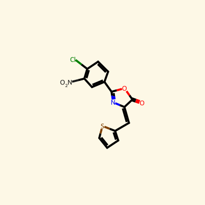 O=C1OC(c2ccc(Cl)c([N+](=O)[O-])c2)=NC1=Cc1cccs1